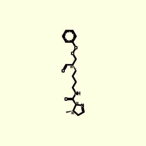 C[C@H]1CC=N[C@@H]1C(=O)NCCCC[C@H](C=O)COOc1ccccc1